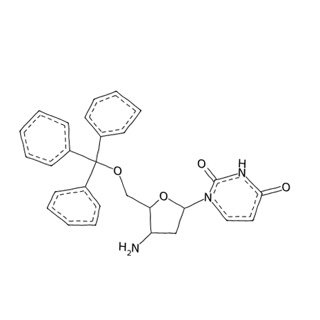 NC1CC(n2ccc(=O)[nH]c2=O)OC1COC(c1ccccc1)(c1ccccc1)c1ccccc1